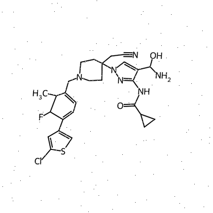 CC1C(CN2CCC(CC#N)(n3cc(C(N)O)c(NC(=O)C4CC4)n3)CC2)=CC=C(c2csc(Cl)c2)C1F